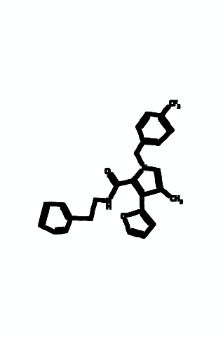 Cc1cn(Cc2ccc(C(F)(F)F)cc2)c(C(=O)NCCc2ccccc2)c1-c1ccco1